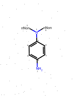 CCCCCCCCCN(CCCCCCCCC)c1ccc(N)cc1